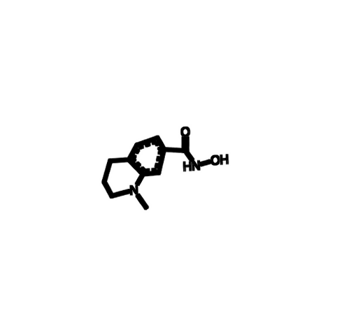 CN1CCCc2ccc(C(=O)NO)cc21